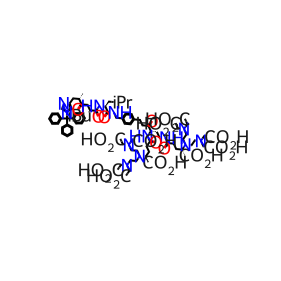 CCC(C)[C@H](CC(=O)[C@@H](C)Cc1cn(C(c2ccccc2)(c2ccccc2)c2ccccc2)cn1)C(=O)N[C@@H](CC(C)C)C(=O)NCc1ccc(CCC(=O)[C@H](CCNC(=O)CC[C@@H](C(=O)O)N(CCN(CC(=O)O)CC(=O)O)CCN(CC(=O)O)CC(=O)O)NC(=O)CC[C@@H](C(=O)O)N(CCN(CC(=O)O)CC(=O)O)CCN(CC(=O)O)CC(=O)O)cc1